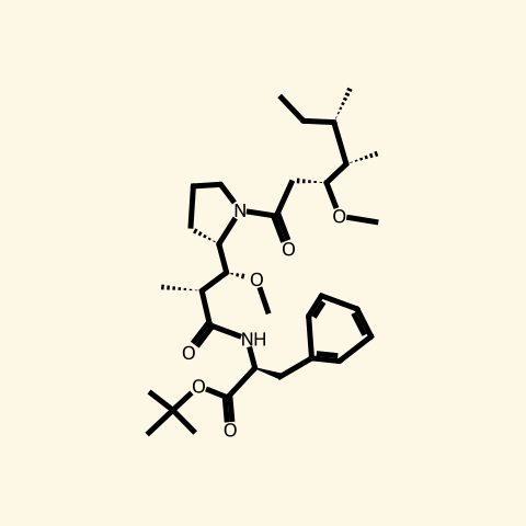 CC[C@H](C)[C@H](C)[C@@H](CC(=O)N1CCC[C@H]1[C@H](OC)[C@@H](C)C(=O)N[C@@H](Cc1ccccc1)C(=O)OC(C)(C)C)OC